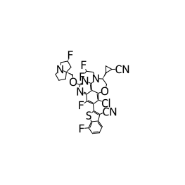 N#Cc1c(-c2c(Cl)c3c4c(nc(OC[C@@]56CCCN5C[C@H](F)C6)nc4c2F)N(CC(F)F)[C@@H](C2CC2C#N)CO3)sc2c(F)cccc12